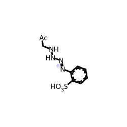 CC(=O)CNN/N=N/c1ccccc1S(=O)(=O)O